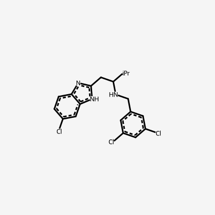 CC(C)C(Cc1nc2ccc(Cl)cc2[nH]1)NCc1cc(Cl)cc(Cl)c1